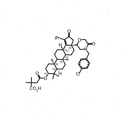 CC(C)C1=C2[C@H]3CCC4[C@@]5(C)CC[C@H](OC(=O)CC(C)(C)C(=O)O)C(C)(C)[C@@H]5CC[C@@]4(C)[C@]3(C)CC[C@@]2(C2CN(Cc3ccc(Cl)cc3)C(=O)CO2)CC1=O